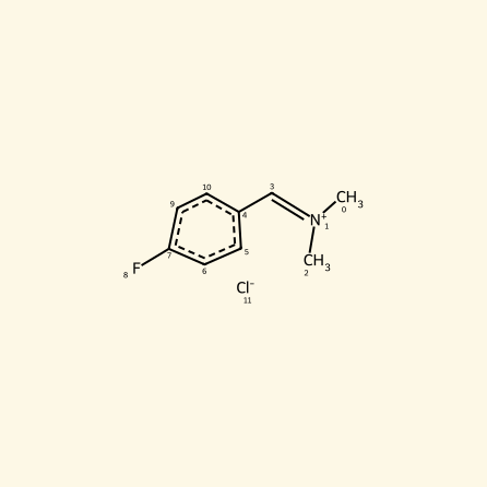 C[N+](C)=Cc1ccc(F)cc1.[Cl-]